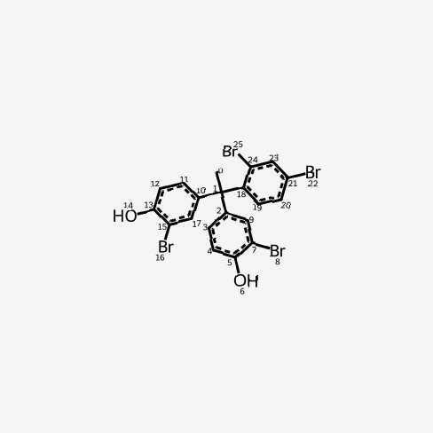 CC(c1ccc(O)c(Br)c1)(c1ccc(O)c(Br)c1)c1ccc(Br)cc1Br